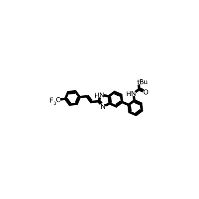 CC(C)(C)C(=O)Nc1ccccc1-c1ccc2[nH]c(/C=C/c3ccc(C(F)(F)F)cc3)nc2c1